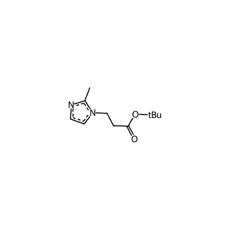 Cc1nccn1CCC(=O)OC(C)(C)C